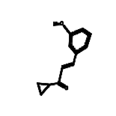 COc1cccc(C=CC(=O)C2CC2)c1